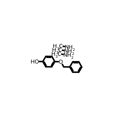 CN.CN.CN.Oc1ccc(OCc2ccccc2)cc1